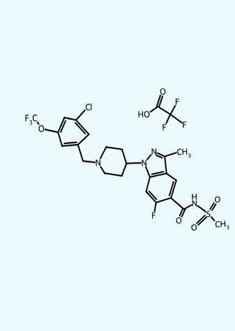 Cc1nn(C2CCN(Cc3cc(Cl)cc(OC(F)(F)F)c3)CC2)c2cc(F)c(C(=O)NS(C)(=O)=O)cc12.O=C(O)C(F)(F)F